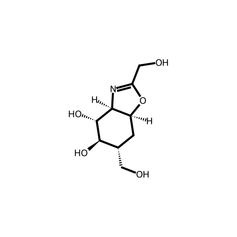 OCC1=N[C@@H]2[C@@H](O)[C@H](O)[C@@H](CO)C[C@@H]2O1